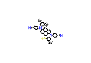 C[Si](C)(C)c1cc(S)cc(N(c2ccc(C#N)cc2)c2ccc3ccc4c(N(c5ccc(C#N)cc5)c5cc([Si](C)(C)C)cc([Si](C)(C)C)c5)ccc5ccc2c3c54)c1